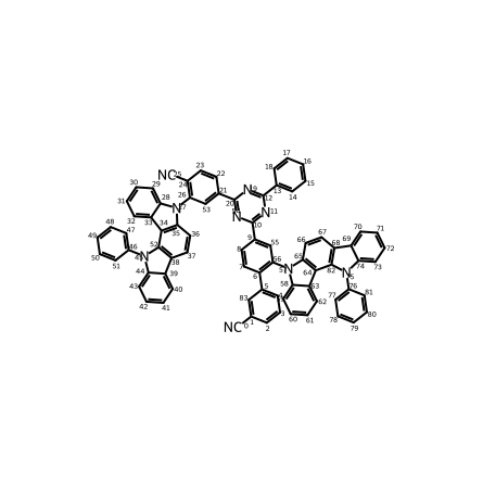 N#Cc1cccc(-c2ccc(-c3nc(-c4ccccc4)nc(-c4ccc(C#N)c(-n5c6ccccc6c6c5ccc5c7ccccc7n(-c7ccccc7)c56)c4)n3)cc2-n2c3ccccc3c3c2ccc2c4ccccc4n(-c4ccccc4)c23)c1